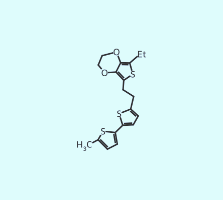 CCc1sc(CCc2ccc(-c3ccc(C)s3)s2)c2c1OCCO2